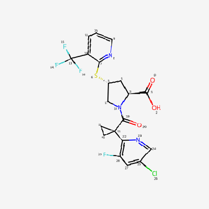 O=C(O)[C@@H]1C[C@@H](Sc2ncccc2C(F)(F)F)CN1C(=O)C1(c2ncc(Cl)cc2F)CC1